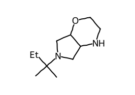 CCC(C)(C)N1CC2NCCOC2C1